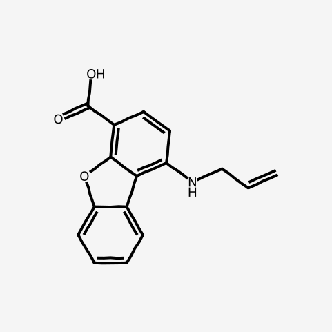 C=CCNc1ccc(C(=O)O)c2oc3ccccc3c12